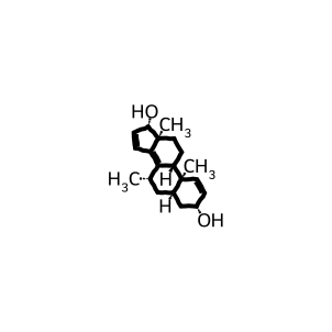 C[C@H]1C[C@@H]2C[C@@H](O)C=C[C@]2(C)[C@H]2CC[C@@]3(C)C(=C12)C=C[C@@H]3O